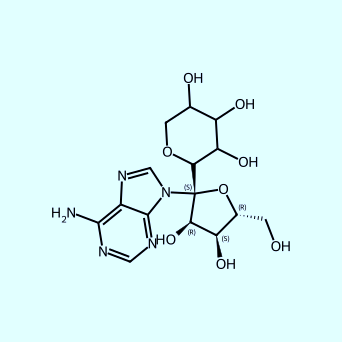 Nc1ncnc2c1ncn2[C@]1(C2OCC(O)C(O)C2O)O[C@H](CO)[C@@H](O)[C@H]1O